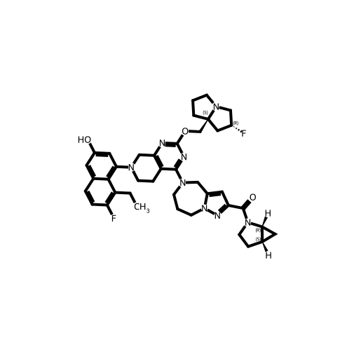 CCc1c(F)ccc2cc(O)cc(N3CCc4c(nc(OC[C@@]56CCCN5C[C@H](F)C6)nc4N4CCCn5nc(C(=O)N6CC[C@H]7C[C@H]76)cc5C4)C3)c12